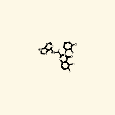 C[C@H](Nc1ncnc2[nH]cnc12)c1nc2ccc(F)c(Cl)c2c(=O)n1-c1cccc(Cl)c1Cl